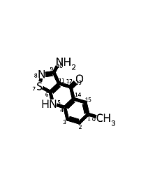 Cc1ccc2[nH]c3snc(N)c3c(=O)c2c1